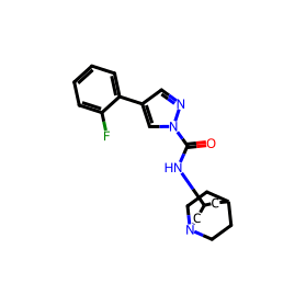 O=C(NC1CC2CCN(CC2)C1)n1cc(-c2ccccc2F)cn1